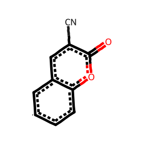 N#Cc1cc2c[c]ccc2oc1=O